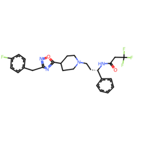 O=C(CC(F)(F)F)N[C@@H](CCN1CCC(c2nc(Cc3ccc(F)cc3)no2)CC1)c1ccccc1